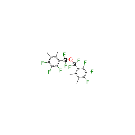 Cc1c(C)c([Si](F)(F)O[Si](F)(F)c2c(C)c(C)c(F)c(F)c2F)c(F)c(F)c1F